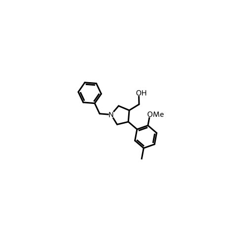 COc1ccc(C)cc1C1CN(Cc2ccccc2)CC1CO